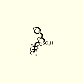 O=C(CC(F)(F)C(F)(F)C(F)(F)F)OC(CN1CCOCC1)CS(=O)(=O)O